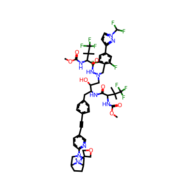 COC(=O)NC(C(=O)NC(Cc1ccc(C#Cc2ccc(N3CC4CCC(C3)[N+]4(C)C3COC3)nc2)cc1)C(O)CN(Cc1c(F)cc(-c2ccn(C(F)F)n2)cc1F)NC(=O)C(NC(=O)OC)C(C)(C)C(F)(F)F)C(C)(C)C(F)(F)F